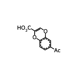 CC(=O)c1ccc2c(c1)OC=C(C(=O)O)O2